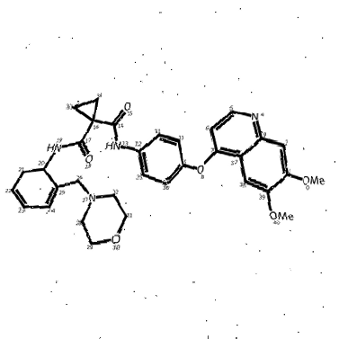 COc1cc2nccc(Oc3ccc(NC(=O)C4(C(=O)NC5CC=CC=C5CN5CCOCC5)CC4)cc3)c2cc1OC